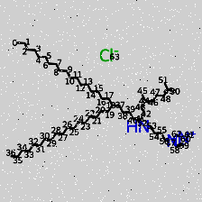 CCCCCCCCCCCCCCCCCCC(CCCCCCCCCCCCCCCCCC)CCCCC(CCC(C)CCCC(C)C)NCCCCn1cc[n+](C)c1.[Cl-]